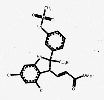 CCOC(=O)C1(c2cccc(NS(C)(=O)=O)c2)Nc2cc(Cl)cc(Cl)c2C1C=CC(=O)OC